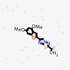 COc1cc(OC)c2cc(-c3cn4nc(C(C)F)sc4n3)oc2c1